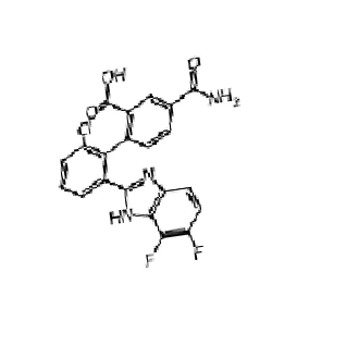 NC(=O)c1ccc(-c2c(Cl)cccc2-c2nc3ccc(F)c(F)c3[nH]2)c(C(=O)O)c1